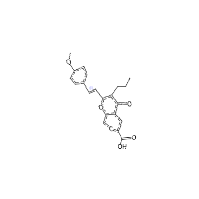 CCCc1c(/C=C/c2ccc(OC)cc2)oc2ccc(C(=O)O)cc2c1=O